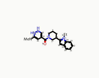 CCn1c(C2CCCN(C(=O)C3=CNNC(NC)=C3)C2)cc2ccccc21